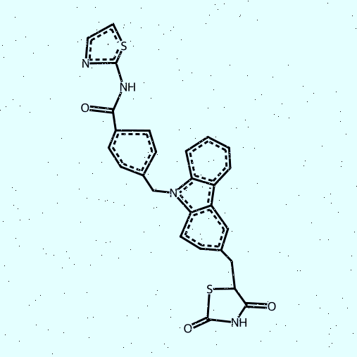 O=C1NC(=O)C(Cc2ccc3c(c2)c2ccccc2n3Cc2ccc(C(=O)Nc3nccs3)cc2)S1